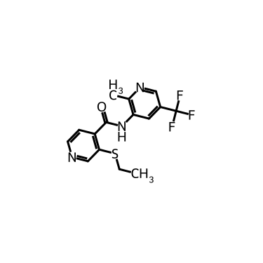 CCSc1cnccc1C(=O)Nc1cc(C(F)(F)F)cnc1C